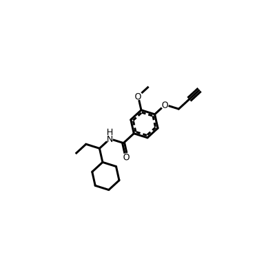 C#CCOc1ccc(C(=O)NC(CC)C2CCCCC2)cc1OC